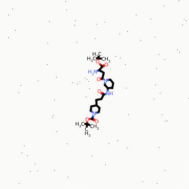 CC(C)(C)OC(=O)C(N)CC(=O)N1CCCC(NC(=O)CCC2CCN(C(=O)OC(C)(C)C)CC2)C1